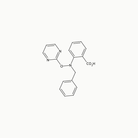 O=C(O)c1ccccc1N(Cc1ccccc1)Oc1ncccn1